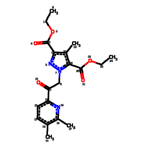 CCOC(=O)c1nn(CC(=O)c2ccc(C)c(C)n2)c(C(=O)OCC)c1C